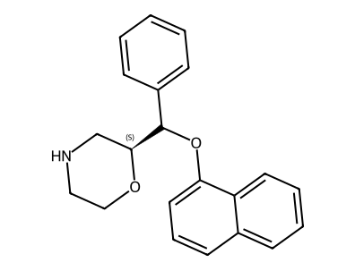 c1ccc(C(Oc2cccc3ccccc23)[C@@H]2CNCCO2)cc1